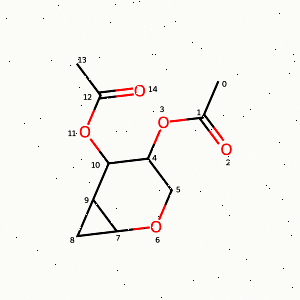 CC(=O)OC1COC2CC2C1OC(C)=O